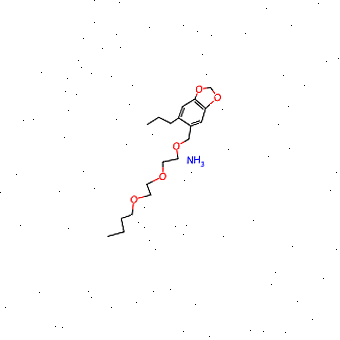 CCCCOCCOCCOCc1cc2c(cc1CCC)OCO2.N